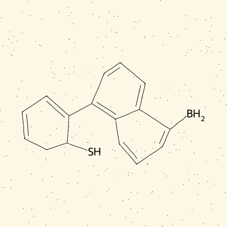 Bc1cccc2c(C3=CC=CCC3S)cccc12